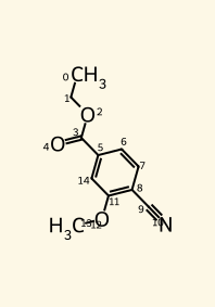 CCOC(=O)c1ccc(C#N)c(OC)c1